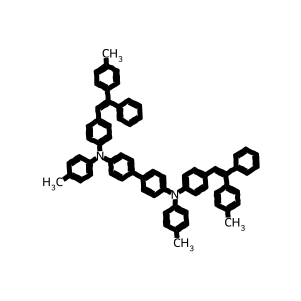 Cc1ccc(C(=Cc2ccc(N(c3ccc(C)cc3)c3ccc(-c4ccc(N(c5ccc(C)cc5)c5ccc(C=C(c6ccccc6)c6ccc(C)cc6)cc5)cc4)cc3)cc2)c2ccccc2)cc1